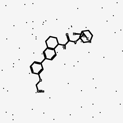 COCOc1cccc(-c2ccc3c(c2)CCCC3NC(=O)O[C@H]2CN3CCC2CC3)c1